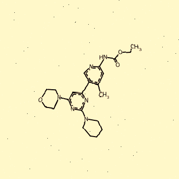 CCOC(=O)Nc1cc(C)c(-c2cc(N3CCOCC3)nc(N3CCCCC3)n2)cn1